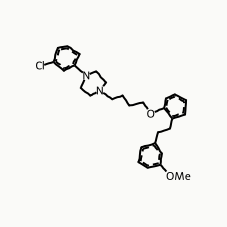 COc1cccc(CCc2ccccc2OCCCCN2CCN(c3cccc(Cl)c3)CC2)c1